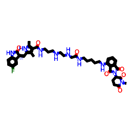 Cc1[nH]c(/C=C2\C(=O)Nc3ccc(F)cc32)c(C)c1C(=O)NCCCNCCNCC(=O)NCCCCCNc1cccc2c1C(=O)N(C1CCC(=O)N(C)C1=O)C2=O